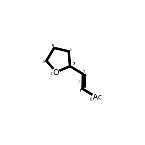 CC(=O)/C=C/C1CCCO1